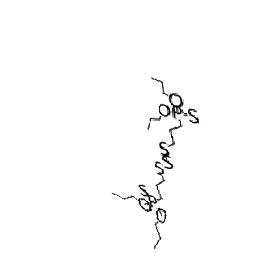 CCCOP(=S)(CCCSSSCCCP(=S)(OCCC)OCCC)OCCC